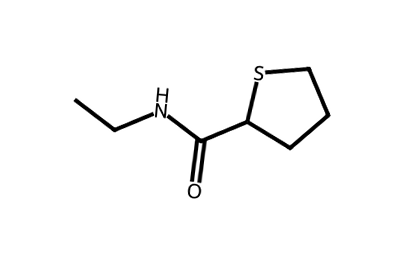 CCNC(=O)C1CCCS1